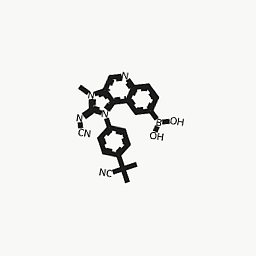 Cn1/c(=N/C#N)n(-c2ccc(C(C)(C)C#N)cc2)c2c3cc(B(O)O)ccc3ncc21